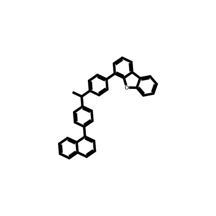 CC(c1ccc(-c2cccc3ccccc23)cc1)c1ccc(-c2cccc3c2oc2ccccc23)cc1